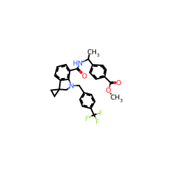 COC(=O)c1ccc(C(C)NC(=O)c2cccc3c2N(Cc2ccc(C(F)(F)F)cc2)CC32CC2)cc1